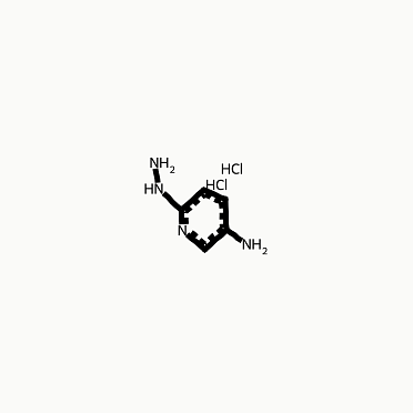 Cl.Cl.NNc1ccc(N)cn1